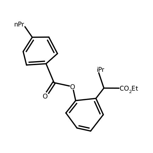 CCCc1ccc(C(=O)Oc2ccccc2C(C(=O)OCC)C(C)C)cc1